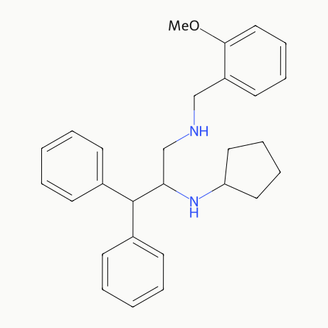 COc1ccccc1CNCC(NC1CCCC1)C(c1ccccc1)c1ccccc1